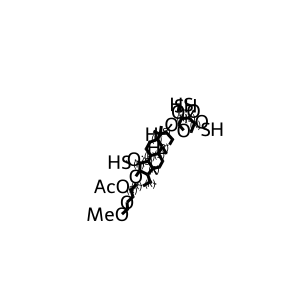 COCOC[C@@H](OC(C)=O)[C@H]1C[C@@H](C)C2C(O1)[C@H](OS)[C@@]1(C)[C@@H]3CC[C@H]4C(C)(C)[C@@H](OC5OC[C@@H](OS)[C@H](OS)[C@H]5OS)CC[C@@]45C[C@@]35CC[C@]21C